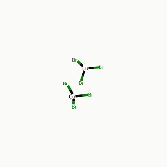 [Br][Cu]([Br])[Br].[Br][Cu]([Br])[Br]